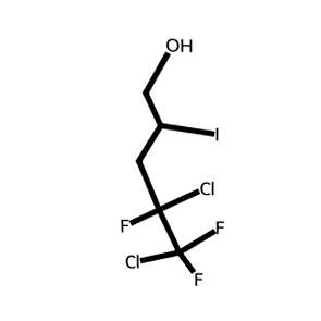 OCC(I)CC(F)(Cl)C(F)(F)Cl